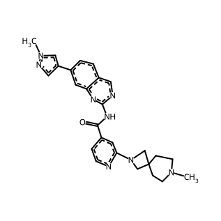 CN1CCC2(CC1)CN(c1cc(C(=O)Nc3ncc4ccc(-c5cnn(C)c5)cc4n3)ccn1)C2